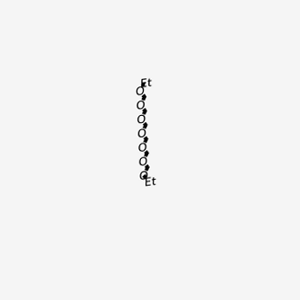 CCOCOCOCOCOCOCOCC